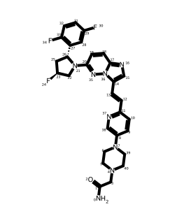 NC(=O)CN1CCN(c2ccc(/C=C/c3cnc4ccc(N5C[C@@H](F)C[C@@H]5c5cc(F)ccc5F)nn34)nc2)CC1